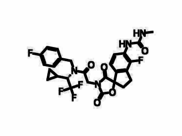 CNC(=O)Nc1ccc2c(c1F)CCC21OC(=O)N(CC(=O)N(Cc2ccc(F)cc2)[C@@H](C2CC2)C(F)(F)F)C1=O